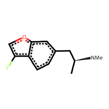 CN[C@@H](C)Cc1ccc2c(F)coc2c1